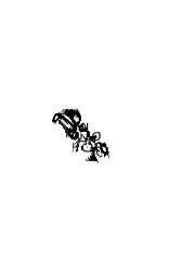 N[C@@H](Cc1cn(C(c2ccccc2)(c2ccccc2)c2ccccc2)cn1)C(=O)N[C@@H](CC1CCCCC1)[C@@H](O)[C@@H](O)C1CC1